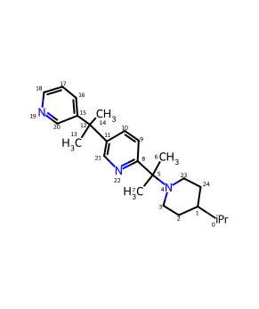 CC(C)C1CCN(C(C)(C)c2ccc(C(C)(C)c3cccnc3)cn2)CC1